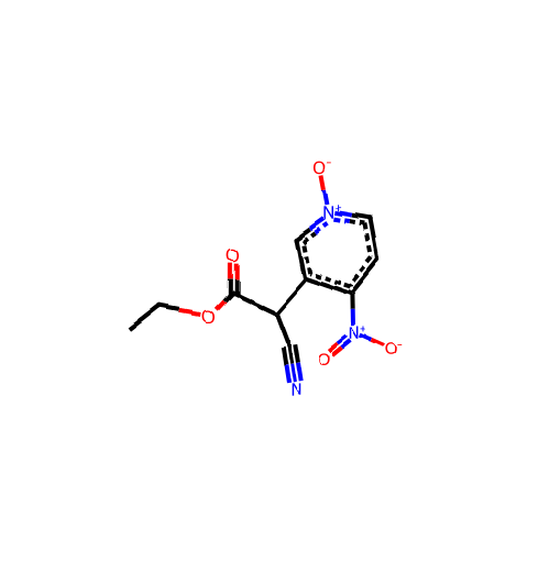 CCOC(=O)C(C#N)c1c[n+]([O-])ccc1[N+](=O)[O-]